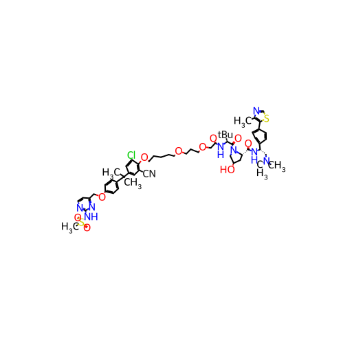 Cc1ncsc1-c1ccc([C@H](CN(C)C)NC(=O)[C@@H]2C[C@@H](O)CN2C(=O)[C@@H](NC(=O)COCCCOCCCCCOc2c(Cl)cc(C(C)(C)c3ccc(OCc4ccnc(NS(C)(=O)=O)n4)cc3)cc2C#N)C(C)(C)C)cc1